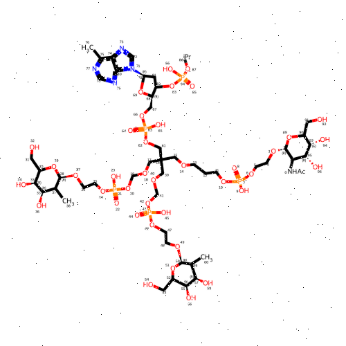 CC(=O)NC1[C@H](OCCOP(=O)(O)OCCCOCC(COCOP(=O)(O)OCCO[C@@H]2OC(CO)[C@H](O)[C@H](O)C2C)(COCOP(=O)(O)OCCO[C@@H]2OC(CO)[C@H](O)[C@H](O)C2C)COP(=O)(O)OC[C@H]2O[C@@H](n3cnc4c(C)ncnc43)CC2OP(=O)(O)OC(C)C)OC(CO)[C@H](O)[C@@H]1O